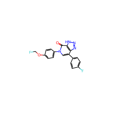 O=c1c2[nH]nnc2c(-c2ccc(F)cc2)cn1-c1ccc(OCF)cc1